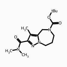 Cc1c(C(=O)N(C)C)nn2c1CN(C(=O)OC(C)(C)C)CCC2